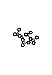 c1ccc(-n2c3ccccc3c3ccc(-n4c5ccccc5c5ccc(-n6c7cc8c(cc7c7cc9c%10ccccc%10n(-c%10ccccc%10)c9cc76)c6ccccc6n8-c6ccccc6)cc54)cc32)cc1